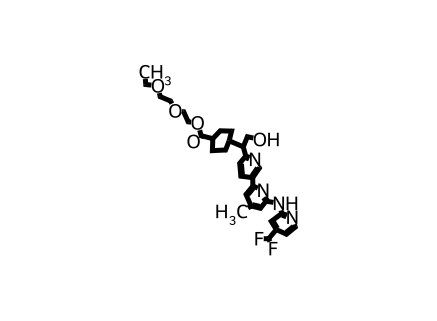 CCOCCOCCOC(=O)C1CCC(C(CO)c2ccc(-c3cc(C)cc(Nc4cc(C(F)F)ccn4)n3)cn2)CC1